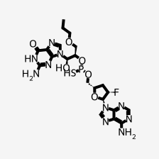 CCCOC[C@@H](OP(S)OC[C@@H]1C[C@H](F)[C@H](n2cnc3c(N)ncnc32)O1)[C@@H](O)n1cnc2c(=O)[nH]c(N)nc21